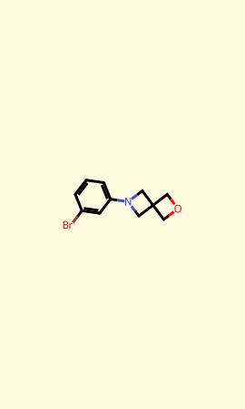 Brc1cccc(N2CC3(COC3)C2)c1